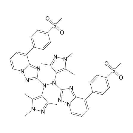 Cc1nn(C)c(C)c1N(c1nc2c(-c3ccc(S(C)(=O)=O)cc3)cccn2n1)N(c1nc2c(-c3ccc(S(C)(=O)=O)cc3)cccn2n1)c1c(C)nn(C)c1C